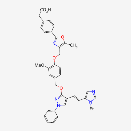 CCn1cncc1C=Cc1cn(-c2ccccc2)nc1OCc1ccc(OCc2nc(-c3ccc(CC(=O)O)cc3)oc2C)c(OC)c1